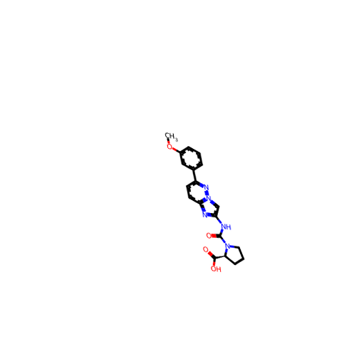 COc1cccc(-c2ccc3nc(NC(=O)N4CCC[C@H]4C(=O)O)cn3n2)c1